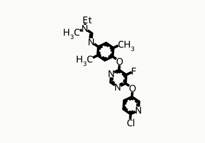 CCN(C)/C=N/c1cc(C)c(Oc2ncnc(Oc3ccc(Cl)nc3)c2F)cc1C